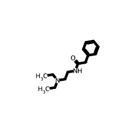 CCN(CC)CCNC(=O)[CH]c1ccccc1